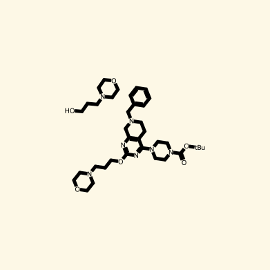 CC(C)(C)OC(=O)N1CCN(c2nc(OCCCN3CCOCC3)nc3c2CCN(Cc2ccccc2)C3)CC1.OCCCN1CCOCC1